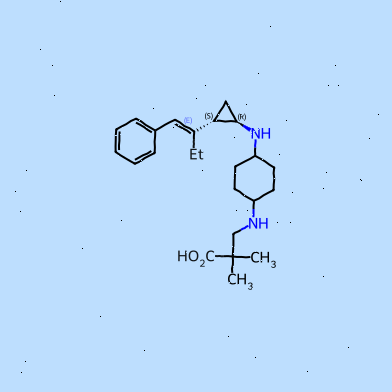 CC/C(=C\c1ccccc1)[C@@H]1C[C@H]1NC1CCC(NCC(C)(C)C(=O)O)CC1